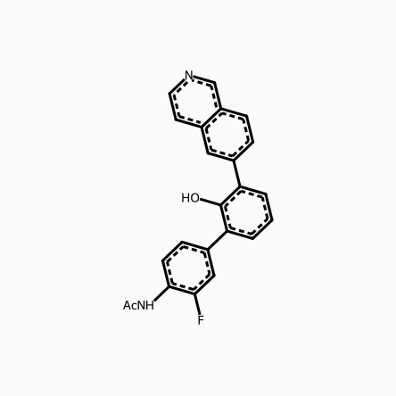 CC(=O)Nc1ccc(-c2cccc(-c3ccc4cnccc4c3)c2O)cc1F